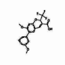 COc1cccc(-c2cc3c(cc2OC)OC(C(F)(F)F)C(C(=O)O)=C3)c1